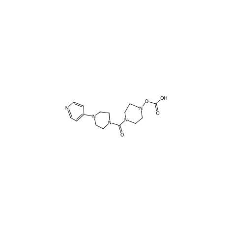 O=C(O)ON1CCN(C(=O)N2CCN(c3ccncc3)CC2)CC1